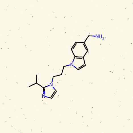 CC(C)c1nccn1CCCn1ccc2cc(CN)ccc21